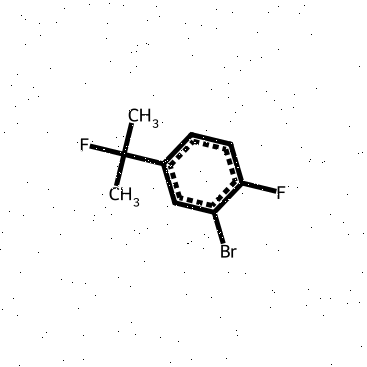 CC(C)(F)c1ccc(F)c(Br)c1